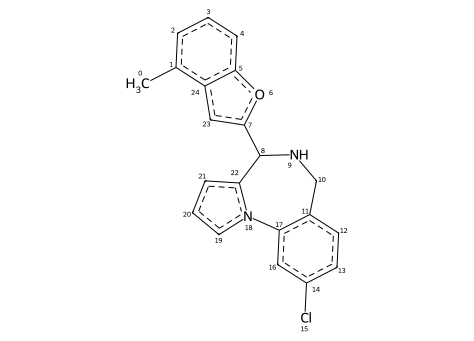 Cc1cccc2oc(C3NCc4ccc(Cl)cc4-n4cccc43)cc12